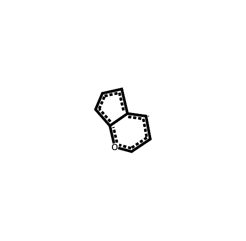 [c]1ccoc2cccc1-2